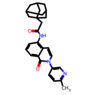 Cc1ccc(-n2ccc3c(NC(=O)CC45CC6CC(CC(C6)C4)C5)cccc3c2=O)cn1